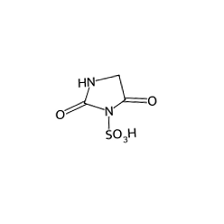 O=C1CNC(=O)N1S(=O)(=O)O